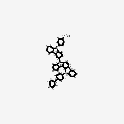 CCCCc1ccc(-n2c3ccccc3c3cc(-n4c5ccccc5c5c4ccc4c6ccccc6n(-c6ccc(-c7ccccc7)cc6)c45)ccc32)cc1